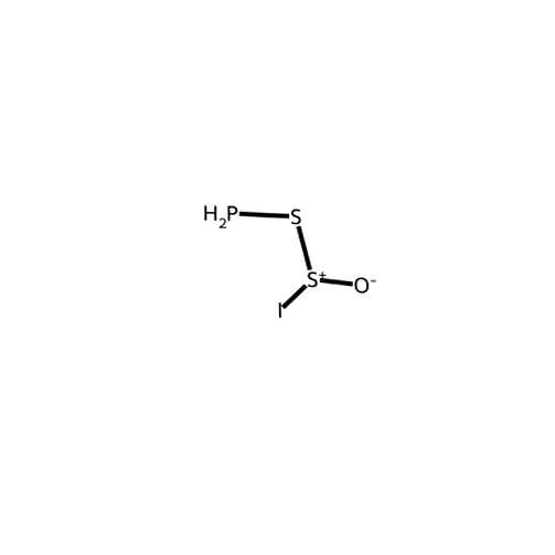 [O-][S+](I)SP